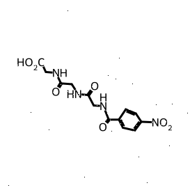 O=C(O)CNC(=O)CNC(=O)CNC(=O)c1ccc([N+](=O)[O-])cc1